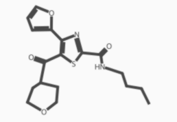 CCCCNC(=O)c1nc(-c2ccco2)c(C(=O)C2CCOCC2)s1